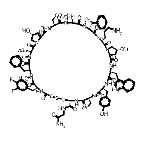 CCCC[C@H]1C(=O)N2C[C@H](O)C[C@@H]2C(=O)N[C@@H](CC(=O)O)C(=O)N[C@@H](C(C)C)C(=O)N(C)[C@H](Cc2ccccc2)C(=O)N[C@@H](CCCN)C(=O)N2C[C@H](O)C[C@@H]2C(=O)N[C@@H](Cc2c[nH]c3ccccc23)C(=O)N[C@@H](Cc2ccc(O)cc2)C(=O)N[C@@H](CC(C)C)C(=O)N[C@H](C(=O)NCC(N)=O)CSCC(=O)N[C@@H](Cc2ccc(F)c(F)c2)C(=O)N(C)[C@@H](Cc2ccccc2)C(=O)N1C